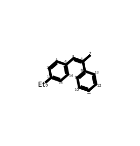 CCc1ccc(C=C(C)c2ccccc2)cc1